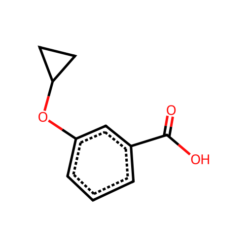 O=C(O)c1cccc(OC2CC2)c1